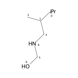 CC(C)C(C)CNCO